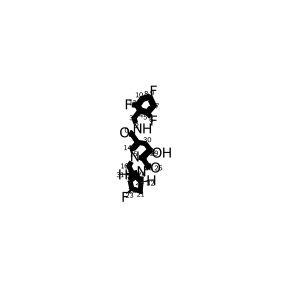 O=C(NCc1c(F)cc(F)cc1F)C1=CN2C[C@H]3C4C[C@H](C[C@H]4F)N3C(=O)C2=C(O)C1